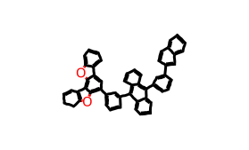 C1=Cc2c(oc3c(-c4cccc(-c5c6ccccc6c(-c6cccc(-c7ccc8ccccc8c7)c6)c6ccccc56)c4)cc4c5ccccc5oc4c23)CC1